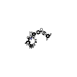 Cc1cc2cc(n1)-c1cnn(C)c1OCCCCCN1/C(=N/C2=O)Nc2ccc(N3CCC(C(=O)N4CCN(c5cc(F)cc(F)c5)CC4)CC3)cc21